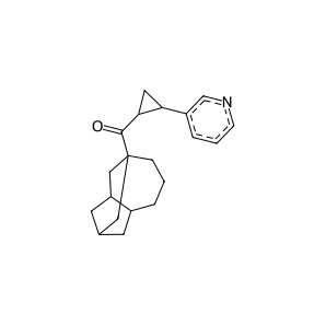 O=C(C1CC1c1cccnc1)C12CCCC3CC(CC3C1)C2